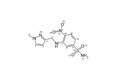 Cn1ccc(CNc2cc(S(N)(=O)=O)ccc2[N+](=O)[O-])n1